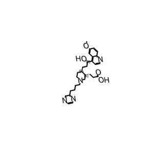 COc1ccc2nccc([C@H](O)CC[C@@H]3CCN(CCCCc4cnccn4)C[C@H]3CCC(=O)O)c2c1